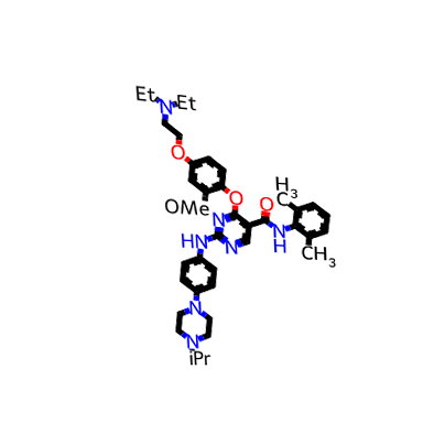 CCN(CC)CCOc1ccc(Oc2nc(Nc3ccc(N4CCN(C(C)C)CC4)cc3)ncc2C(=O)Nc2c(C)cccc2C)c(OC)c1